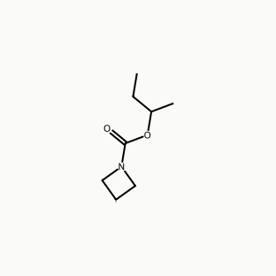 CCC(C)OC(=O)N1C[CH]C1